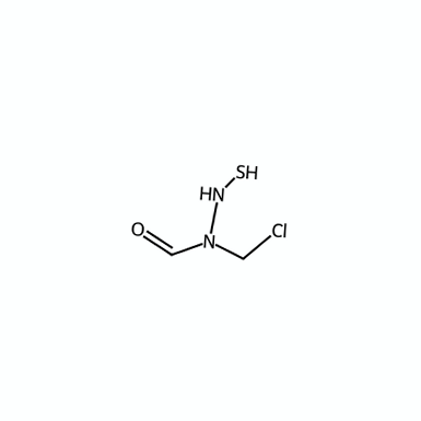 O=CN(CCl)NS